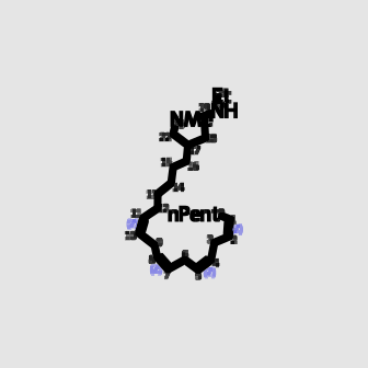 CCCCC/C=C\C/C=C\C/C=C\C/C=C\CCCCCC(CCNCC)CNC